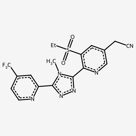 CCS(=O)(=O)c1cc(CC#N)cnc1-c1nnc(-c2cc(C(F)(F)F)ccn2)n1C